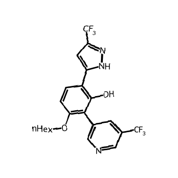 CCCCCCOc1ccc(-c2cc(C(F)(F)F)n[nH]2)c(O)c1-c1cncc(C(F)(F)F)c1